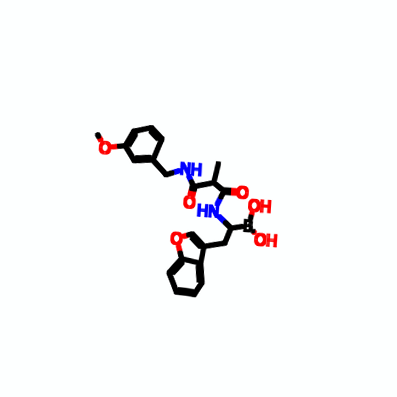 COc1cccc(CNC(=O)C(C)C(=O)NC(Cc2coc3ccccc23)B(O)O)c1